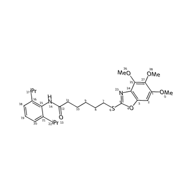 COc1cc2oc(SCCCCCC(=O)Nc3c(C(C)C)cccc3C(C)C)nc2c(OC)c1OC